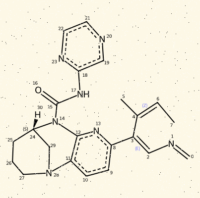 C=N/C=C(\C(C)=C/C)c1ccc2c(n1)N(C(=O)Nc1cnccn1)[C@H]1CCCN2C1